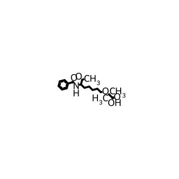 CC(=O)C(CCCCCOC(C)(C)C(=O)O)NC(=O)c1ccccc1